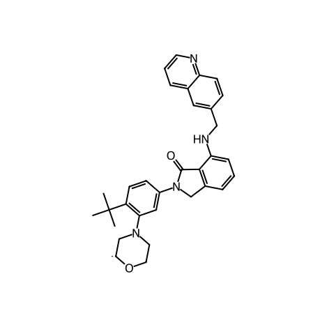 CC(C)(C)c1ccc(N2Cc3cccc(NCc4ccc5ncccc5c4)c3C2=O)cc1N1C[CH]OCC1